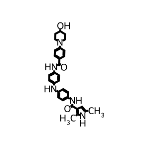 Cc1cc(C(=O)Nc2ccc(Nc3ccc(NC(=O)c4ccc(N5CCC(O)CC5)cc4)cc3)cc2)c(C)[nH]1